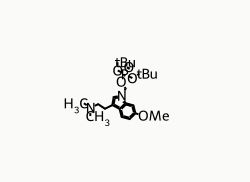 COc1ccc2c(CCN(C)C)cn(COP(=O)(OC(C)(C)C)OC(C)(C)C)c2c1